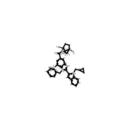 COc1cc(C(=O)N2C[C@H]3CC[C@@H]2[C@@H]3N)cc2nc(-c3cc4ccccc4n3CC3CC3)n(Cc3ccccc3)c12